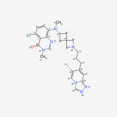 CN(c1ccc(Cl)c2c(=O)n(C)cnc12)C1CC2(C1)CN(CCCc1cc3nncn3cc1F)C2